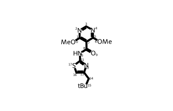 COc1ncnc(OC)c1C(=O)Nc1nc(CC(C)(C)C)cs1